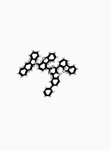 c1ccc(-c2ccc3sc4c(-c5cccc6c5oc5ccccc56)nc(-c5ccc(-n6c7ccccc7c7cc8ccccc8cc76)c6oc7ccccc7c56)nc4c3c2)cc1